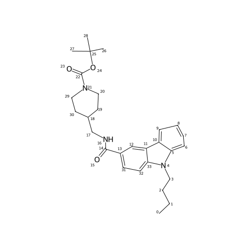 CCCCn1c2ccccc2c2cc(C(=O)NCC3CCN(C(=O)OC(C)(C)C)CC3)ccc21